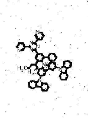 C=CCC(C=C)c1cc(-c2nc(-c3cccnc3)nc(-c3cccnc3)n2)cc(-c2ccccc2)c1-n1c2ccc(-n3c4ccccc4c4ccccc43)cc2c2cc(-n3c4ccccc4c4ccccc43)ccc21